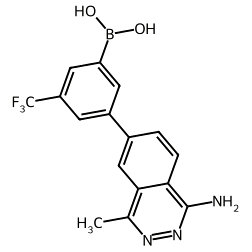 Cc1nnc(N)c2ccc(-c3cc(B(O)O)cc(C(F)(F)F)c3)cc12